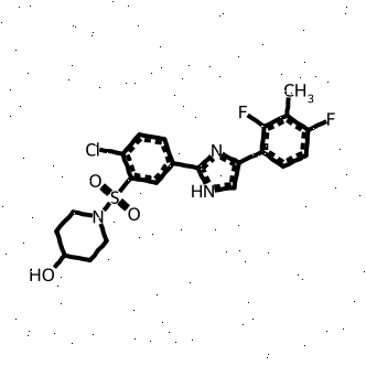 Cc1c(F)ccc(-c2c[nH]c(-c3ccc(Cl)c(S(=O)(=O)N4CCC(O)CC4)c3)n2)c1F